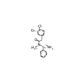 CN(C(=O)Cc1ccc(Cl)c(Cl)c1)[C@H](CN)c1ccccc1